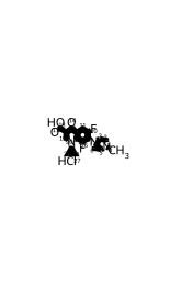 CN1CC2CC1CN2c1c(F)cc2c(=O)c(C(=O)O)cn(C3CC3)c2c1F.Cl